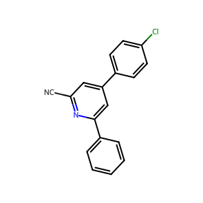 N#Cc1cc(-c2ccc(Cl)cc2)cc(-c2ccccc2)n1